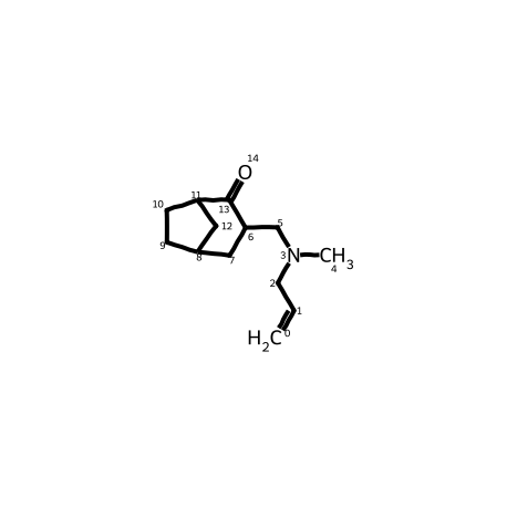 C=CCN(C)CC1CC2CCC(C2)C1=O